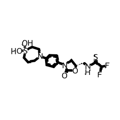 O=C1O[C@@H](CNC(=S)C(F)F)CN1c1ccc(N2CCCS(O)(O)CC2)cc1